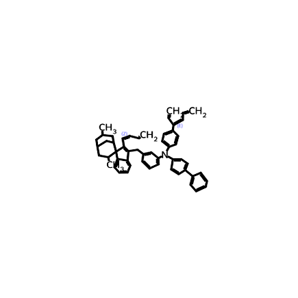 C=C/C=C\C1=C(Cc2cccc(N(c3ccc(/C(C=C)=C/C=C)cc3)c3ccc(-c4ccccc4)cc3)c2)c2ccccc2C12C(C)CC1CC(C)CC2C1